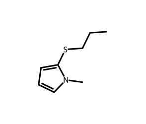 CCCSc1cccn1C